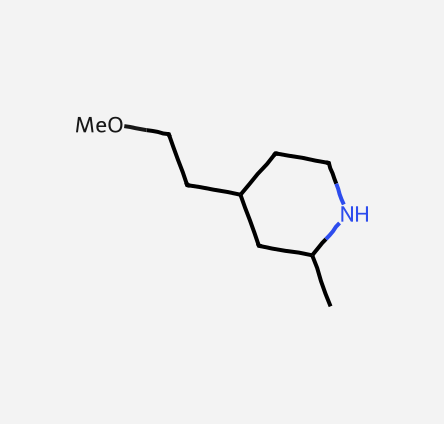 COCCC1CCNC(C)C1